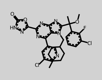 COC(C)(c1cccc(Cl)c1F)c1nc2nc(-c3n[nH]c(=O)o3)nc(-c3cncc(Cl)c3)c2n1CC1CCC(C)CC1